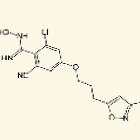 Cc1cc(CCCOc2cc(Cl)c(C(=N)NO)c(C#N)c2)on1